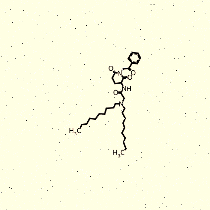 CCCCCCCCCCN(CCCCCCCCCC)CC(=O)NC1CCC(=O)N(CC(=O)c2ccccc2)C1=O